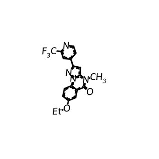 CCOc1ccc2c(c1)c(=O)n(C)c1cc(-c3ccnc(C(F)(F)F)c3)nn21